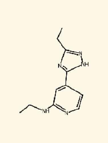 CCNc1cc(-c2nc(CC)n[nH]2)ccn1